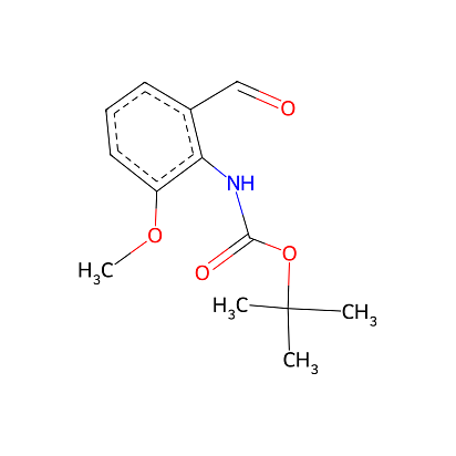 COc1cccc(C=O)c1NC(=O)OC(C)(C)C